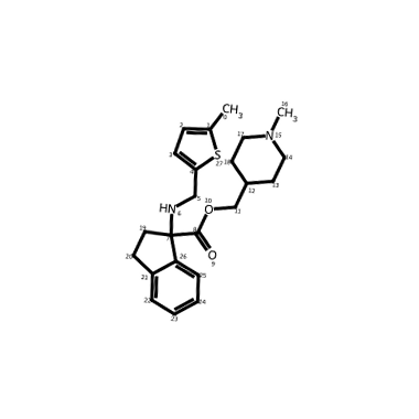 Cc1ccc(CNC2(C(=O)OCC3CCN(C)CC3)CCc3ccccc32)s1